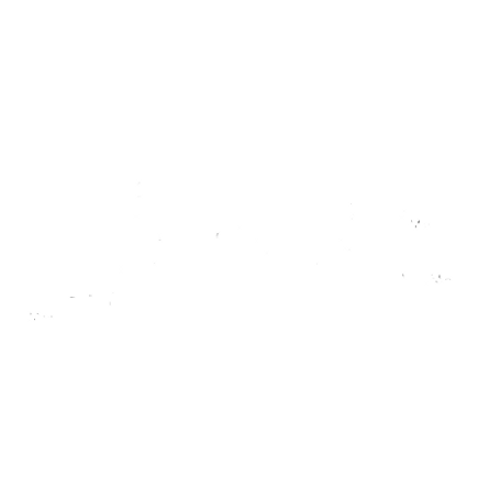 COC(C)OC1C=C(C=CCCCCC(=O)CC(OC)OC)C(=O)C1